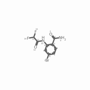 NC(=O)c1ccc(Br)cc1NC(=O)C(F)F